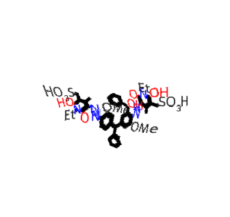 CCn1c(O)c(CS(=O)(=O)O)c(C)c(/N=N/c2ccc(C(c3ccccc3)c3cc(OC)c(/N=N/c4c(C)c(CS(=O)(=O)O)c(O)n(CC)c4=O)c(C(O)c4ccccc4)c3)cc2OC)c1=O